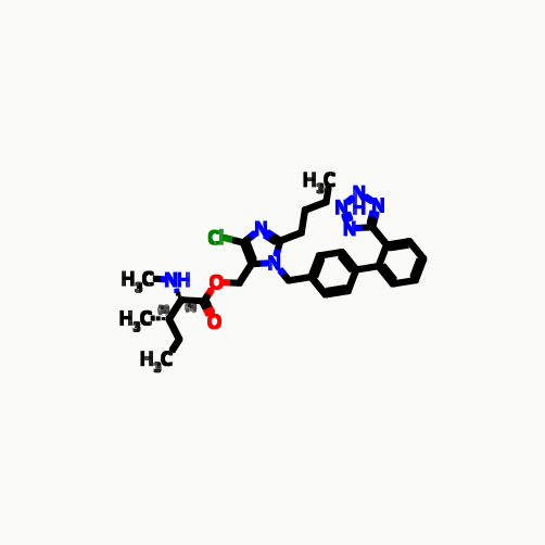 CCCCc1nc(Cl)c(COC(=O)[C@@H](NC)[C@@H](C)CC)n1Cc1ccc(-c2ccccc2-c2nn[nH]n2)cc1